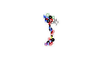 COc1cc(Nc2c(C#N)cnc3cc(OCCCN4CCN(C(=O)COCCSc5cccc6c5C(=O)N(C5CCC(=O)NC5=O)C6=O)CC4)c(OC)cc23)c(Cl)cc1Cl